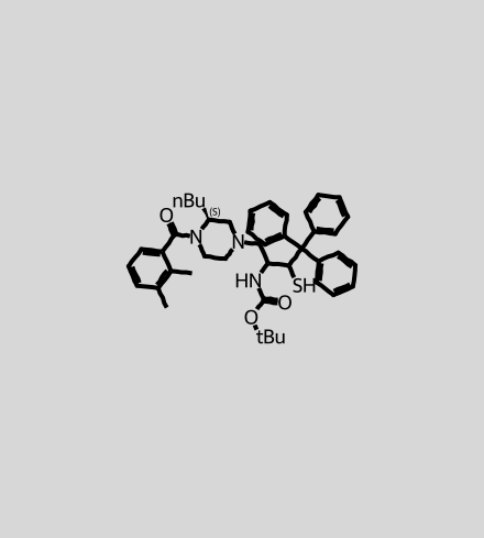 CCCC[C@H]1CN(CC(NC(=O)OC(C)(C)C)C(S)C(c2ccccc2)(c2ccccc2)c2ccccc2)CCN1C(=O)c1cccc(C)c1C